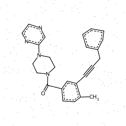 Cc1ccc(C(=O)N2CCN(c3cnccn3)CC2)cc1C#CCc1ccccc1